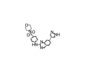 O=S(=O)(c1ccc(Nc2ncc3ccc(-c4cn[nH]c4)cc3n2)cc1)N1CCOCC1